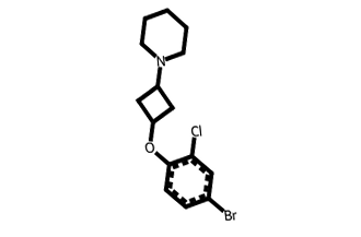 Clc1cc(Br)ccc1OC1CC(N2CCCCC2)C1